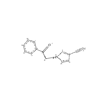 C#CC1=C[SH](CC(=O)c2ccccc2)C=C1